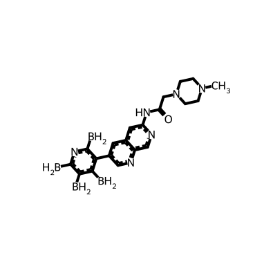 Bc1nc(B)c(-c2cnc3cnc(NC(=O)CN4CCN(C)CC4)cc3c2)c(B)c1B